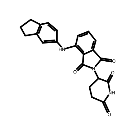 O=C1CCC(N2C(=O)c3cccc(Nc4ccc5c(c4)CCC5)c3C2=O)C(=O)N1